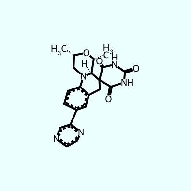 C[C@H]1CN2c3ccc(-c4cnccn4)cc3CC3(C(=O)NC(=O)NC3=O)[C@@H]2[C@@H](C)O1